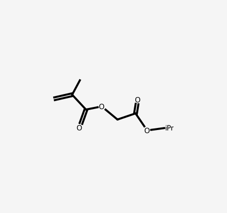 C=C(C)C(=O)OCC(=O)OC(C)C